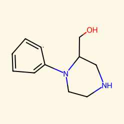 OCC1CNCCN1c1[c]cccc1